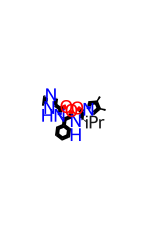 CC(C)[C@H](NC(=O)[C@@H](NC(=O)c1cnccn1)C1CCCCC1)C(=O)N1C[C@@H](C)[C@@H](C)C1